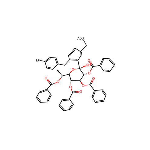 CCc1ccc(Cc2ccc(COC(C)=O)cc2[C@@]2(O)O[C@H]([C@H](C)OC(=O)c3ccccc3)[C@@H](OC(=O)c3ccccc3)[C@H](OC(=O)c3ccccc3)[C@H]2OC(=O)c2ccccc2)cc1